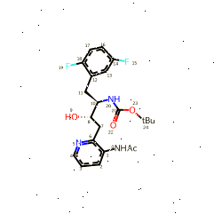 CC(=O)Nc1cccnc1C[C@H](O)[C@@H](Cc1cc(F)ccc1F)NC(=O)OC(C)(C)C